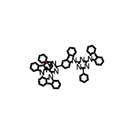 c1ccc(-c2nc(-n3c4ccccc4c4ccccc43)nc(-n3c4ccccc4c4cc(-c5nc(-c6ccccc6)nc(-n6c7ccccc7c7cccc(-n8c9ccccc9c9ccccc98)c76)n5)ccc43)n2)cc1